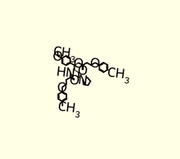 COc1ccc([C@@H](OC(=O)CCOc2ccc(C)cc2)[C@@H](CCN2CCCC2)NC(=O)CCOc2ccc(C)cc2)cc1